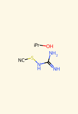 CC(C)O.N#CSNC(=N)N